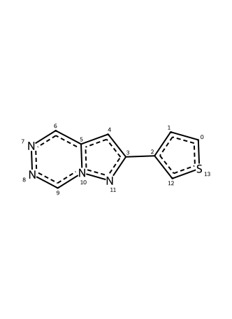 c1cc(-c2cc3cnncn3n2)cs1